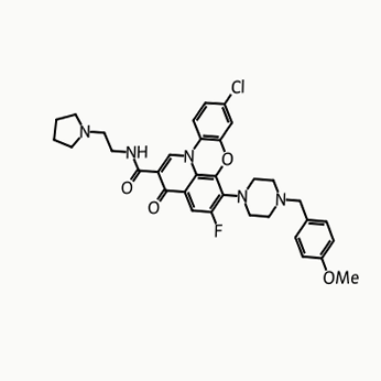 COc1ccc(CN2CCN(c3c(F)cc4c(=O)c(C(=O)NCCN5CCCC5)cn5c4c3Oc3cc(Cl)ccc3-5)CC2)cc1